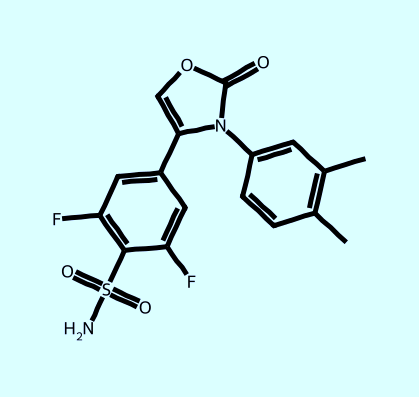 Cc1ccc(-n2c(-c3cc(F)c(S(N)(=O)=O)c(F)c3)coc2=O)cc1C